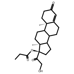 CCC(=O)O[C@]1(C(=O)CO)CCC2C3CCC4=CC(=O)CC[C@]4(C)C3CC[C@@]21C